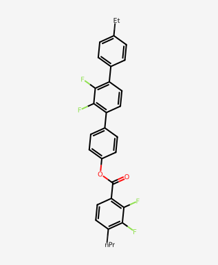 CCCc1ccc(C(=O)Oc2ccc(-c3ccc(-c4ccc(CC)cc4)c(F)c3F)cc2)c(F)c1F